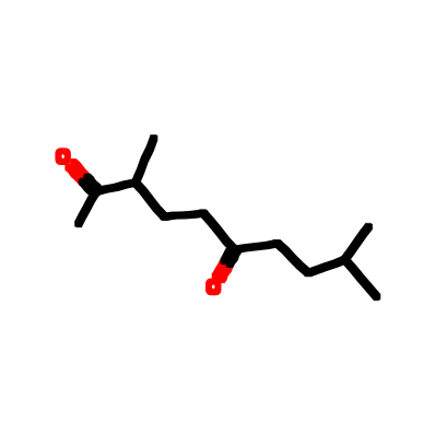 CC(=O)C(C)CCC(=O)CCC(C)C